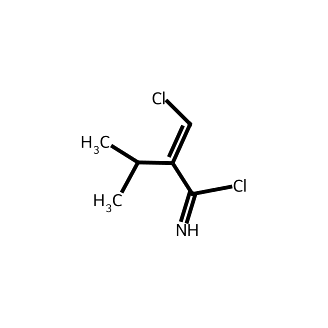 CC(C)/C(=C\Cl)C(=N)Cl